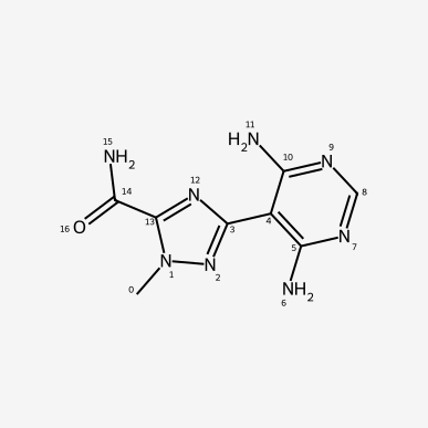 Cn1nc(-c2c(N)ncnc2N)nc1C(N)=O